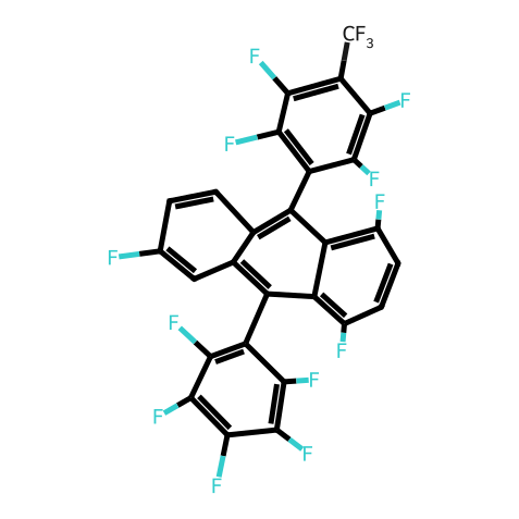 Fc1ccc2c(-c3c(F)c(F)c(C(F)(F)F)c(F)c3F)c3c(F)ccc(F)c3c(-c3c(F)c(F)c(F)c(F)c3F)c2c1